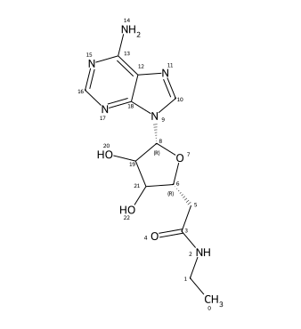 CCNC(=O)C[C@H]1O[C@@H](n2cnc3c(N)ncnc32)C(O)C1O